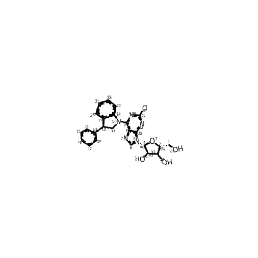 OC[C@H]1O[C@@H](n2cnc3c(N4CC(c5ccccc5)c5ccccc54)nc(Cl)nc32)C(O)C1O